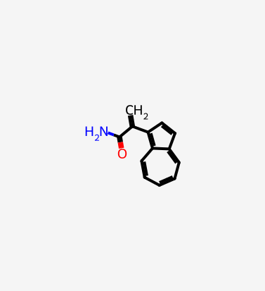 C=C(C(N)=O)c1ccc2cccccc1-2